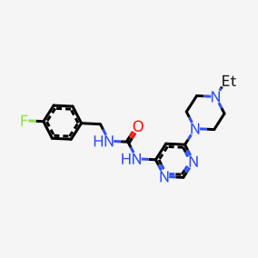 CCN1CCN(c2cc(NC(=O)NCc3ccc(F)cc3)ncn2)CC1